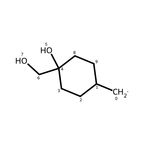 [CH2]C1CCC(O)(CO)CC1